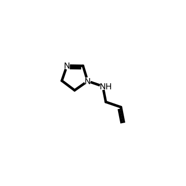 C=CCNN1C=NCC1